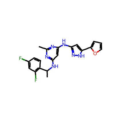 Cc1nc(Nc2cc(-c3ccco3)[nH]n2)cc(NC(C)c2ccc(F)cc2F)n1